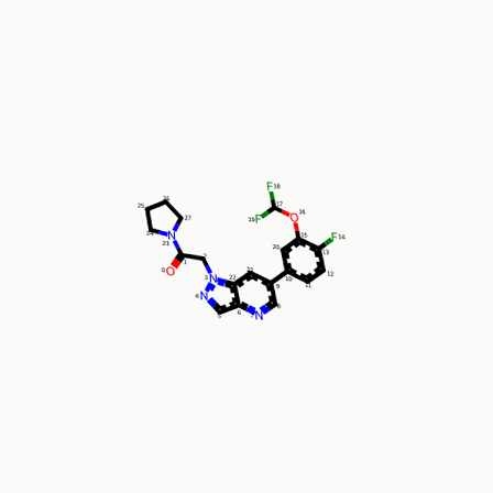 O=C(Cn1ncc2ncc(-c3ccc(F)c(OC(F)F)c3)cc21)N1CCCC1